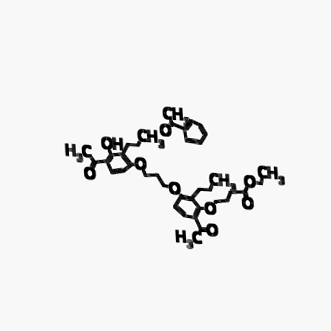 CC(=O)c1ccccc1.CCCc1c(OCCCOc2ccc(C(C)=O)c(OCCCC(=O)OCC)c2CCC)ccc(C(C)=O)c1O